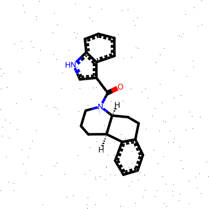 O=C(c1c[nH]c2ccccc12)N1CCC[C@@H]2c3ccccc3CC[C@@H]21